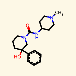 CN1CCC(NC(=O)N2CCCC(O)(c3ccccc3)C2)CC1